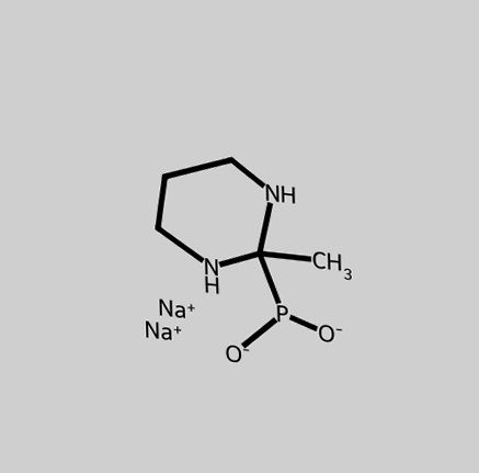 CC1(P([O-])[O-])NCCCN1.[Na+].[Na+]